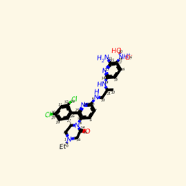 CCN1CCN(c2ccc(NCC(C)Nc3ccc([NH+]([O-])O)c(N)n3)nc2-c2ccc(Cl)cc2Cl)C(=O)C1